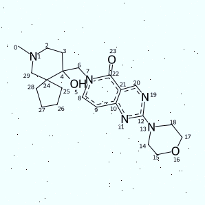 CN1CCC(O)(Cn2ccc3nc(N4CCOCC4)ncc3c2=O)C2(CCCC2)C1